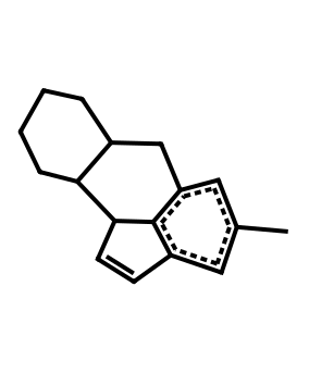 Cc1cc2c3c(c1)CC1CCCCC1C3C=C2